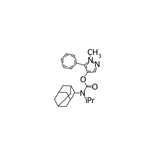 CC(C)N(C(=O)Oc1cnn(C)c1-c1ccccc1)C1C2CC3CC(C2)CC1C3